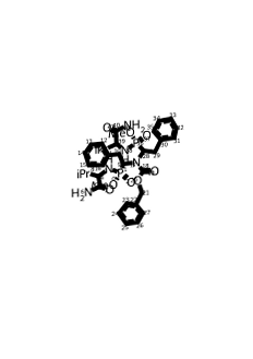 COP(=O)(NC(C(N)=O)C(C)C)C(Cc1ccccc1)N(C(=O)OCc1ccccc1)C(Cc1ccccc1)P(=O)(NC(C(N)=O)C(C)C)OC